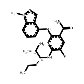 CCC[C@@H](Nc1nc(Nc2cccc3c2cnn3C)c(C(N)=O)cc1F)[C@H](C)N